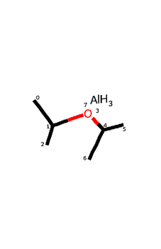 CC(C)OC(C)C.[AlH3]